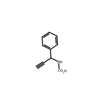 C#CC(NC(=O)O)c1ccccc1